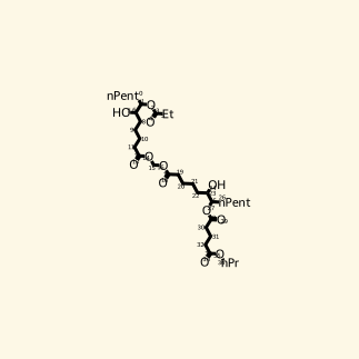 CCCCCC(OC(=O)CC)C(O)CCCCC(=O)OCOC(=O)CCCCC(O)C(CCCCC)OC(=O)CCCC(=O)OCCC